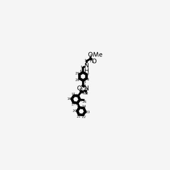 COC(=O)CNCc1ccc(-c2nnc(-c3cccc(-c4ccccc4)c3C)o2)cc1